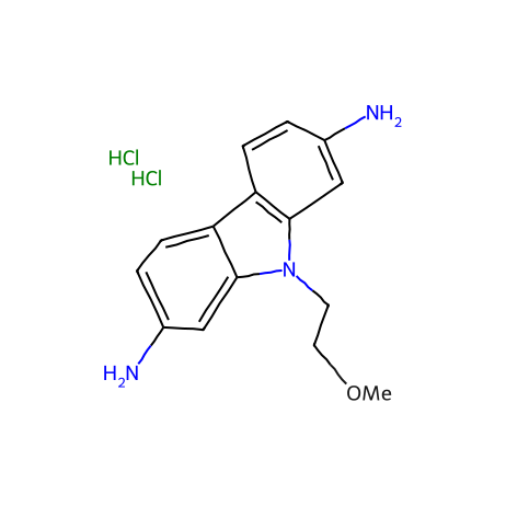 COCCn1c2cc(N)ccc2c2ccc(N)cc21.Cl.Cl